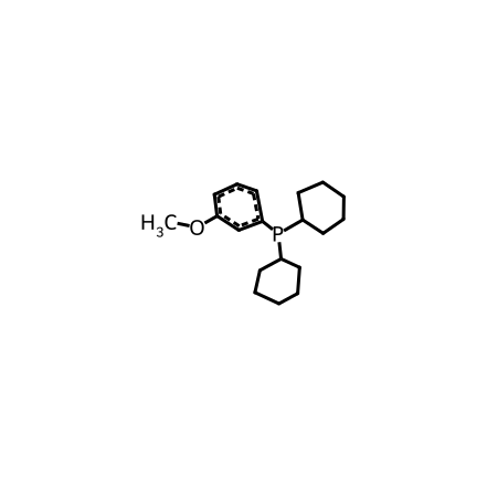 COc1cccc(P(C2CCCCC2)C2CCCCC2)c1